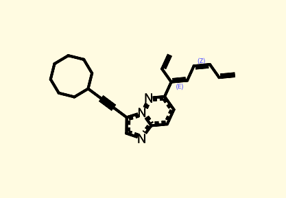 C=C/C=C\C=C(/C=C)c1ccc2ncc(C#CC3CCCCCCC3)n2n1